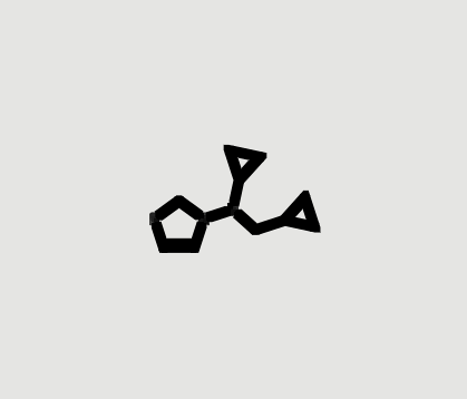 C1=CN(N(CC2CC2)C2CC2)CS1